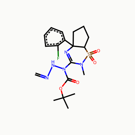 C=NNN(C(=O)OC(C)(C)C)C1=NC2(c3ccccc3F)CCCC2S(=O)(=O)N1C